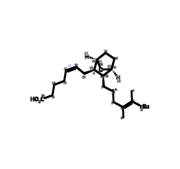 CCCCC(C)=C(C)CSC[C@H]1[C@@H](C/C=C\CCCC(=O)O)[C@H]2CC[C@@H]1O2